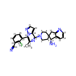 Cc1nc(N2CCC3(CC2)Cc2ncccc2[C@H]3N)c2ccnn2c1-c1cccc(C#N)c1F